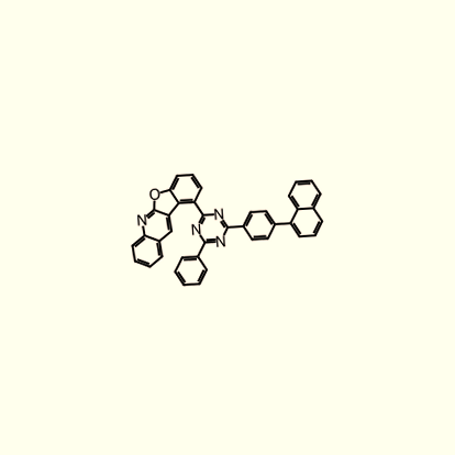 c1ccc(-c2nc(-c3ccc(-c4cccc5ccccc45)cc3)nc(-c3cccc4oc5nc6ccccc6cc5c34)n2)cc1